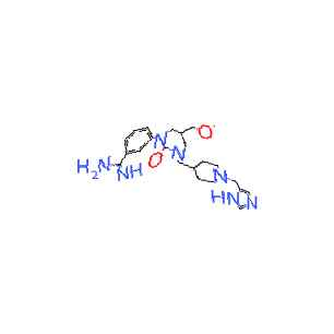 COCC1CN(CC2CCN(Cc3cnc[nH]3)CC2)C(=O)N(c2cccc(C(=N)N)c2)C1